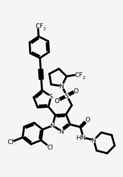 O=C(NN1CCCCC1)c1nn(-c2ccc(Cl)cc2Cl)c(-c2ccc(C#Cc3ccc(C(F)(F)F)cc3)s2)c1CS(=O)(=O)N1CCCC1C(F)(F)F